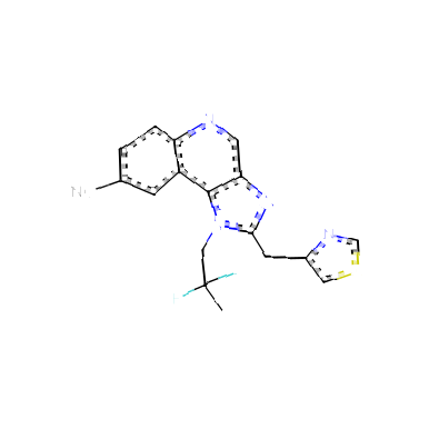 CC(F)(F)Cn1c(Cc2cscn2)nc2cnc3ccc(C#N)cc3c21